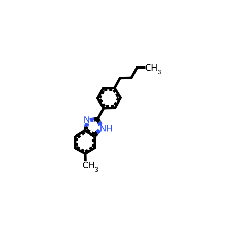 CCCCc1ccc(-c2nc3ccc(C)cc3[nH]2)cc1